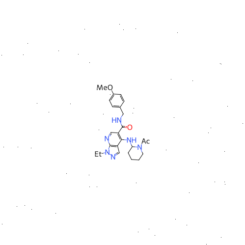 CCn1ncc2c(NC3CCCCN3C(C)=O)c(C(=O)NCc3ccc(OC)cc3)cnc21